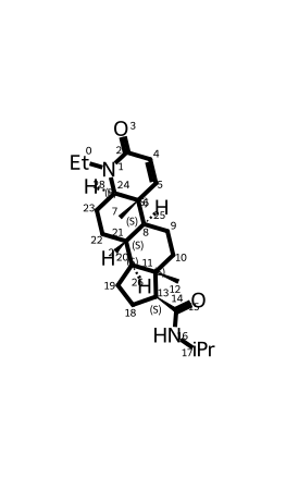 CCN1C(=O)C=C[C@]2(C)[C@H]3CC[C@]4(C)[C@@H](C(=O)NC(C)C)CC[C@H]4[C@@H]3CC[C@@H]12